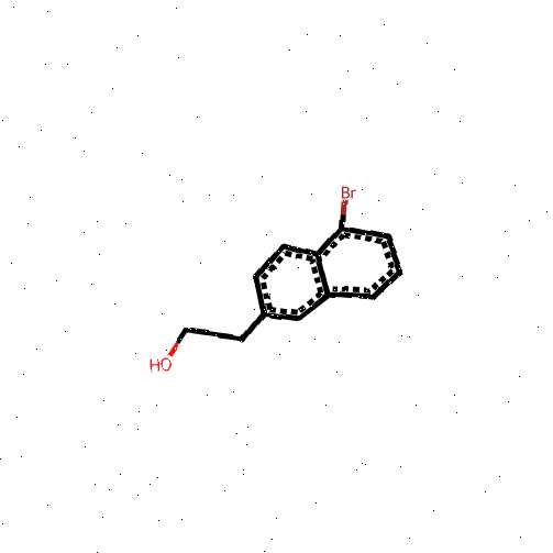 OCCc1ccc2c(Br)cccc2c1